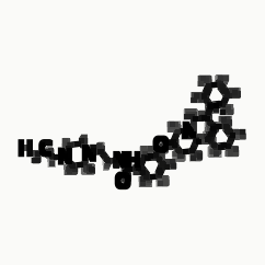 CCN1CCN(CCNC(=O)c2cccc(OC3CCCN(CC(c4ccccc4)c4ccccc4)C3)c2)CC1